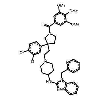 COc1cc(C(=O)N2CCC(CCN3CCC(Nc4nc5ccccc5n4Cc4ccccn4)CC3)(c3ccc(Cl)c(Cl)c3)C2)cc(OC)c1OC